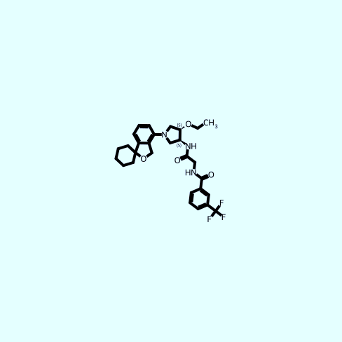 CCO[C@H]1CN(c2cccc3c2COC32CCCCC2)C[C@@H]1NC(=O)CNC(=O)c1cccc(C(F)(F)F)c1